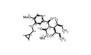 C=C/C(Cl)=C(\C(Cl)=C/C)N(C(=O)OC(C)(C)C)C(=O)c1cc(OCC2CC2)c(OC)cn1